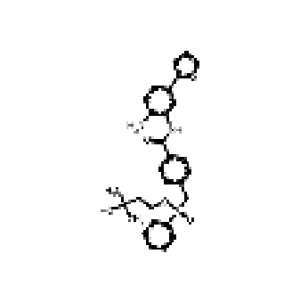 CC(C)(O)CCOP(=O)(Cc1ccc(C(=O)Nc2cc(-c3cccs3)ccc2N)cc1)c1ccccc1